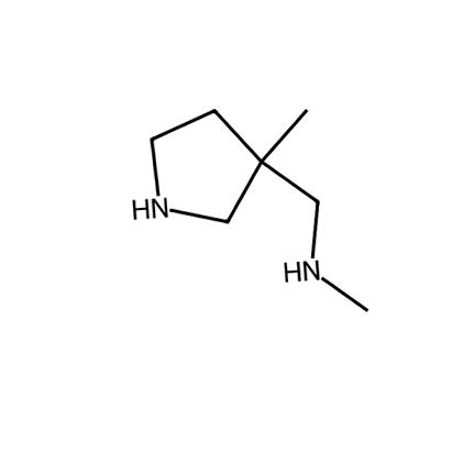 CNCC1(C)CCNC1